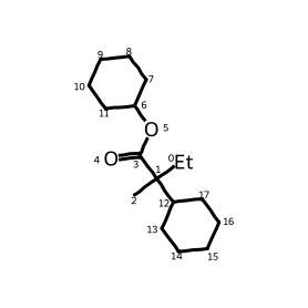 CCC(C)(C(=O)OC1CCCCC1)C1CCCCC1